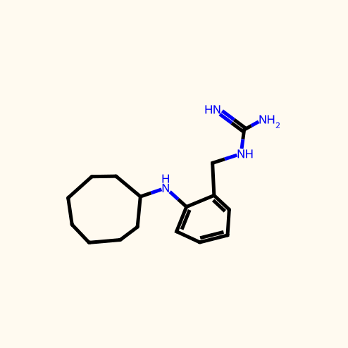 N=C(N)NCc1ccccc1NC1CCCCCCC1